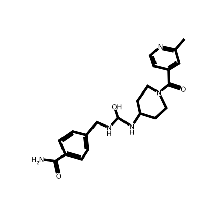 Cc1cc(C(=O)N2CCC(NC(O)NCc3ccc(C(N)=O)cc3)CC2)ccn1